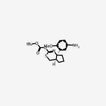 COc1ccc(N)cc1[C@]12CCC[C@H]1CSC(OC(=O)OC(C)(C)C)=N2